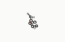 N#Cc1c[nH]c(C2=CC(C3=C(n4c5ccccc5c5ccc6oc7ccccc7c6c54)CCC=C3)CC=C2)c1